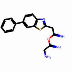 N=C(CN)OC(=N)Cc1nc2ccc(-c3ccccc3)cc2s1